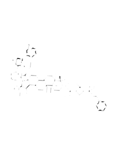 CC(C)C1=C2[C@H]3CC[C@@H]4[C@@]5(C)CC[C@H](OC(=O)[C@H]6C[C@@H](C(=O)OCc7ccccc7)C6(C)C)C(C)(C)[C@@H]5CC[C@@]4(C)[C@]3(C)CC[C@@]2(C(=O)N2CCC[C@H]2c2ncc(-c3cccnc3)[nH]2)CC1=O